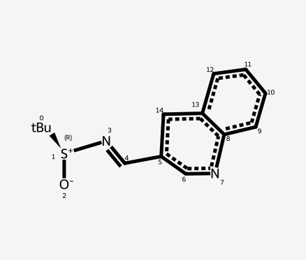 CC(C)(C)[S@+]([O-])N=Cc1cnc2ccccc2c1